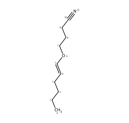 CCCCC=COCCCC#N